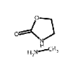 CN.O=C1NCCO1